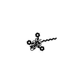 CCCCCCCCCCSC(=O)[C@H](OCc1ccccc1)[C@@H](OCc1ccccc1)[C@H](OCc1ccccc1)[C@@H](CC)OC(C)=O